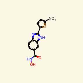 O=C(NO)c1ccc2nc(-c3ccc([N+](=O)[O-])s3)[nH]c2c1